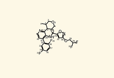 CC1COCCC1c1nccc(-c2cc(F)ccc2F)c1NC(=O)c1cc(OCC(F)F)no1